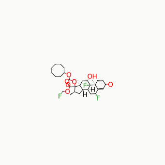 C[C@@H]1C[C@H]2[C@@H]3C[C@H](F)C4=CC(=O)C=C[C@]4(C)[C@@]3(F)[C@@H](O)C[C@]2(C)[C@@]1(OC(=O)OC1CCCCCCC1)C(=O)OCF